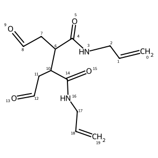 C=CCNC(=O)C(CC=O)C(CC=O)C(=O)NCC=C